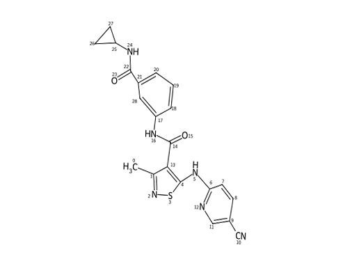 Cc1nsc(Nc2ccc(C#N)cn2)c1C(=O)Nc1cccc(C(=O)NC2CC2)c1